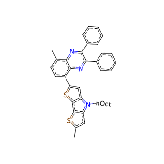 CCCCCCCCn1c2cc(C)sc2c2sc(-c3ccc(C)c4nc(-c5ccccc5)c(-c5ccccc5)nc34)cc21